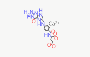 Nc1nc2c(c(=O)[nH]1)NC(CNc1ccc(C(=O)NC(CCC(=O)[O-])C(=O)[O-])cc1)CN2.[Ca+2]